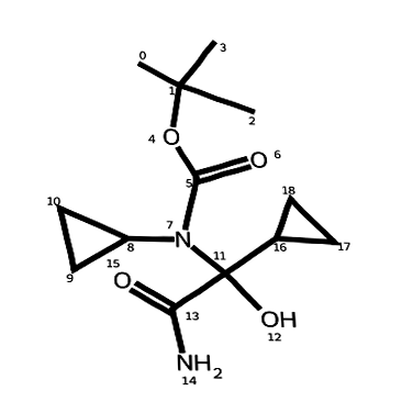 CC(C)(C)OC(=O)N(C1CC1)C(O)(C(N)=O)C1CC1